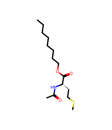 CCCCCCCCOC(=O)[C@H](CCSC)NC(C)=O